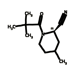 CC1CCN(C(=O)C(C)(C)C)[C@@H](C#N)C1